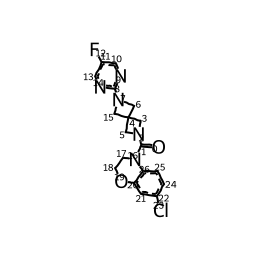 O=C(N1CC2(C1)CN(c1ncc(F)cn1)C2)N1CCOc2cc(Cl)ccc21